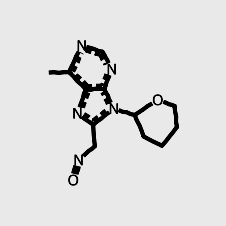 Cc1ncnc2c1nc(CN=O)n2C1CCCCO1